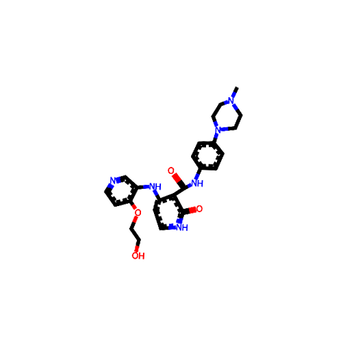 CN1CCN(c2ccc(NC(=O)c3c(Nc4cnccc4OCCO)cc[nH]c3=O)cc2)CC1